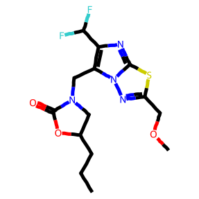 CCCC1CN(Cc2c(C(F)F)nc3sc(COC)nn23)C(=O)O1